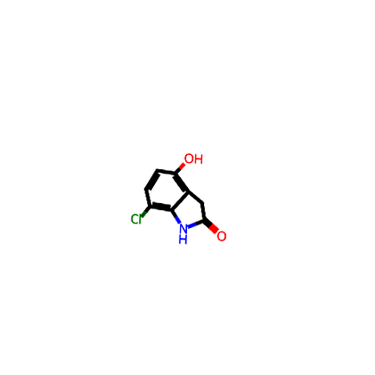 O=C1Cc2c(O)ccc(Cl)c2N1